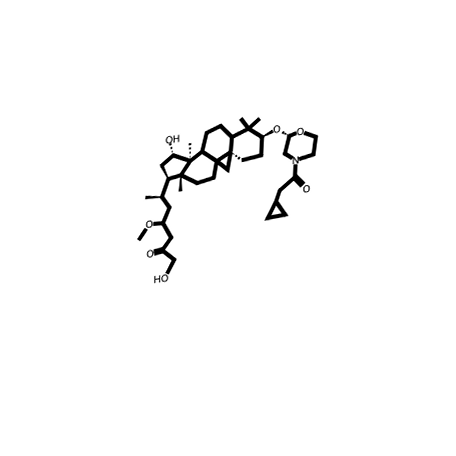 COC(CC(=O)CO)C[C@@H](C)[C@H]1C[C@H](O)[C@@]2(C)C3CCC4C(C)(C)[C@@H](O[C@H]5CN(C(=O)CC6CC6)CCO5)CC[C@@]45CC35CC[C@]12C